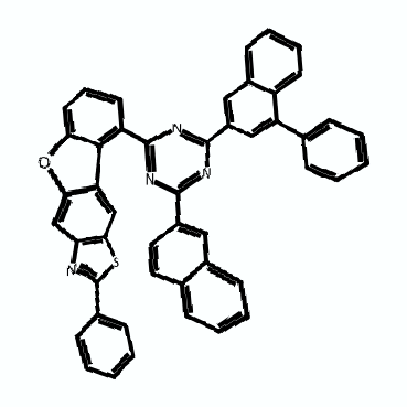 c1ccc(-c2nc3cc4oc5cccc(-c6nc(-c7ccc8ccccc8c7)nc(-c7cc(-c8ccccc8)c8ccccc8c7)n6)c5c4cc3s2)cc1